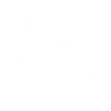 COc1cccc(F)c1C[C@]1(O)CCC[C@@H](NC(=O)c2ccc3[nH]nc(-c4ccnc(C)c4)c3c2)C1